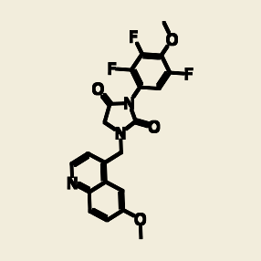 COc1ccc2nccc(CN3CC(=O)N(c4cc(F)c(OC)c(F)c4F)C3=O)c2c1